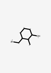 CC(C)CC1CCCC(O)C1C